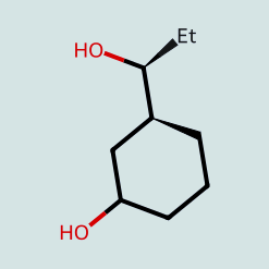 CC[C@H](O)[C@H]1CCCC(O)C1